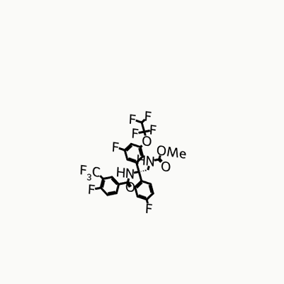 COC(=O)NC[C@@](NC(=O)c1ccc(F)c(C(F)(F)F)c1)(c1ccc(F)cc1)c1cc(F)cc(OC(F)(F)C(F)F)c1